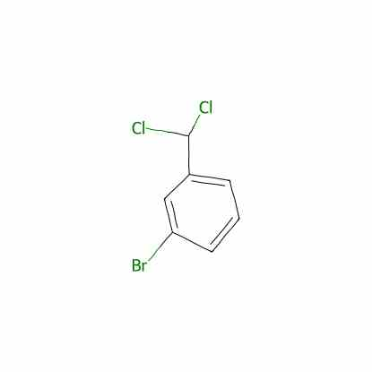 ClC(Cl)c1cccc(Br)c1